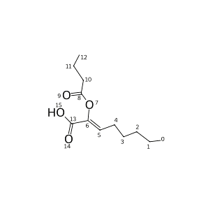 CCCCC/C=C(\OC(=O)CCC)C(=O)O